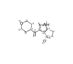 [O-][S@@+]1CCc2[nH]nc(NC3CCOCC3)c21